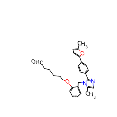 Cc1ccc(-c2ccc(-c3ncc(C)n3Cc3ccccc3OCCCCCC=O)cc2)o1